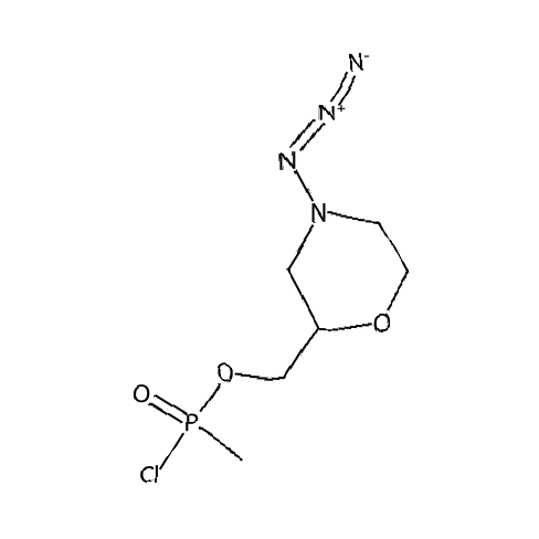 CP(=O)(Cl)OCC1CN(N=[N+]=[N-])CCO1